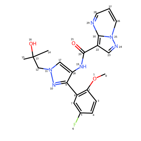 COc1ccc(F)cc1-c1nn(CC(C)(C)O)cc1NC(=O)c1cnn2cccnc12